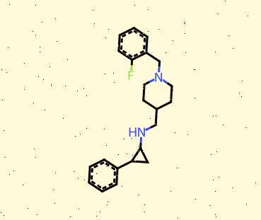 Fc1ccccc1CN1CCC(CNC2CC2c2ccccc2)CC1